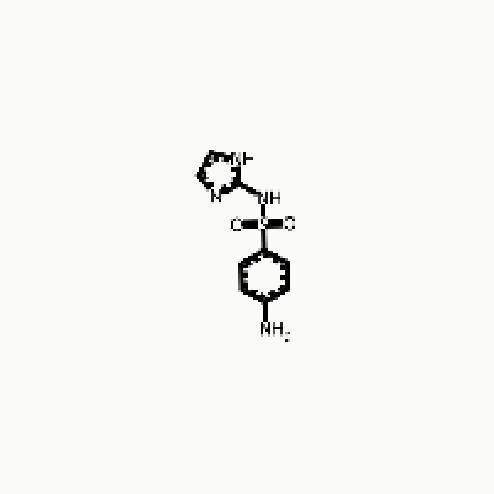 Nc1ccc(S(=O)(=O)Nc2ncc[nH]2)cc1